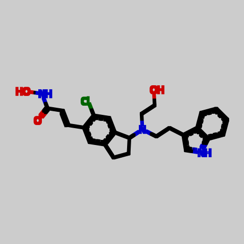 O=C(C=Cc1cc2c(cc1Cl)C(N(CCO)CCc1c[nH]c3ccccc13)CC2)NO